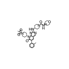 Cc1ccccc1-c1cc2cnc(NC3CCN(C(=O)NN4CCOCC4)CC3)nc2n(C2CCN(S(C)(=O)=O)CC2)c1=O